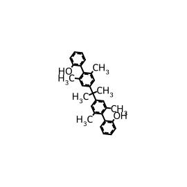 Cc1cc(C(C)(C)c2cc(C)c(-c3ccccc3O)c(C)c2)cc(C)c1-c1ccccc1O